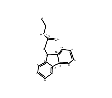 C[CH]NC(=O)CC1c2ccccc2-c2ccccc21